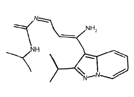 C=C(/N=C\C=C(/N)c1c(C(C)C)nn2ccccc12)NC(C)C